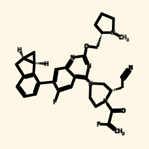 C=C(F)C(=O)N1CCN(c2nc(OC[C@@H]3CCCN3C)nc3cc(-c4cccc5c4[C@@H]4C[C@@H]4C5)c(F)cc23)C[C@@H]1CC#N